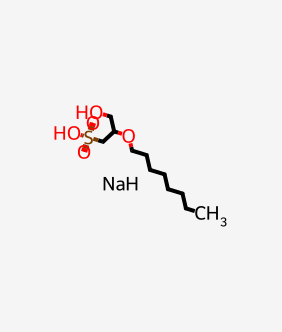 CCCCCCCCOC(CO)CS(=O)(=O)O.[NaH]